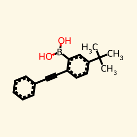 CC(C)(C)c1ccc(C#Cc2ccccc2)c(B(O)O)c1